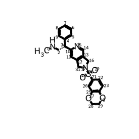 CNC[C@H](c1ccccc1)c1cc2c(cn1)CN(S(=O)(=O)c1ccc3c(c1)OCCO3)C2